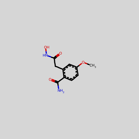 COc1ccc(C(N)=O)c(CC(=O)NO)c1